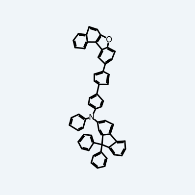 c1ccc(N(c2ccc(-c3ccc(-c4ccc5oc6ccc7ccccc7c6c5c4)cc3)cc2)c2ccc3c(c2)C(c2ccccc2)(c2ccccc2)c2ccccc2-3)cc1